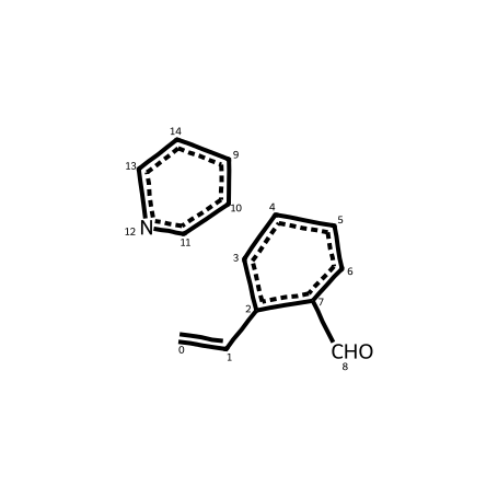 C=Cc1ccccc1C=O.c1ccncc1